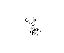 CC1(C(=O)NN)CC(c2ccc(OC(F)F)c(OCc3ccccc3)c2)=NO1